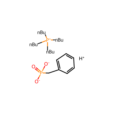 CCCC[P+](CCCC)(CCCC)CCCC.O=P([O-])([O-])Cc1ccccc1.[H+]